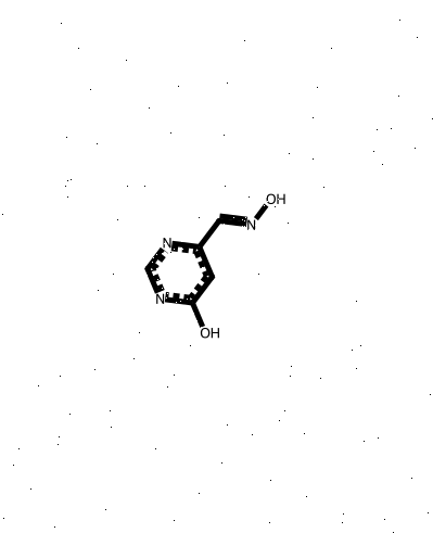 ON=Cc1cc(O)ncn1